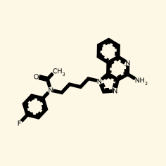 CC(=O)N(CCCCn1cnc2c(N)nc3ccccc3c21)c1ccc(F)cc1